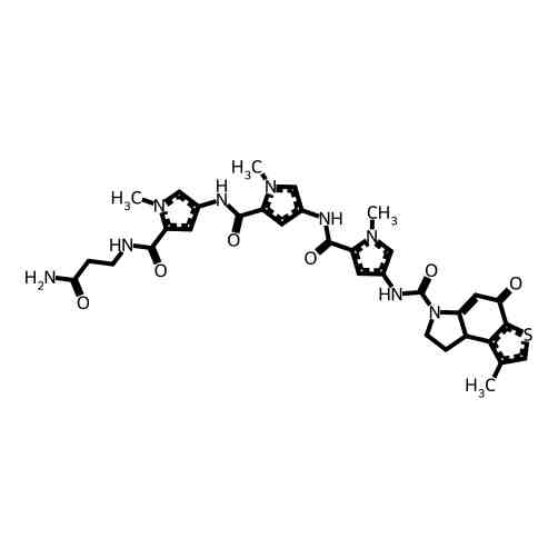 Cc1csc2c1C1CCN(C(=O)Nc3cc(C(=O)Nc4cc(C(=O)Nc5cc(C(=O)NCCC(N)=O)n(C)c5)n(C)c4)n(C)c3)C1=CC2=O